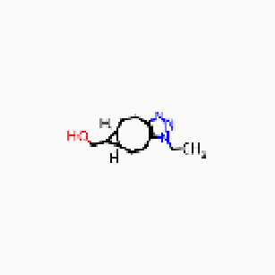 CCn1nnc2c1CC[C@H]1C(CO)[C@H]1CC2